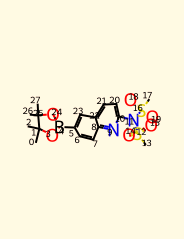 CC1(C)OB(c2ccc3nc(N(S(C)(=O)=O)S(C)(=O)=O)ccc3c2)OC1(C)C